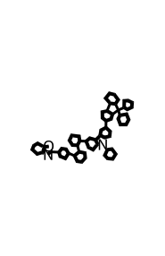 c1ccc(-n2c3ccc(-c4ccc5c(c4)C(c4ccccc4)(c4ccccc4)c4ccccc4-5)cc3c3cc(-c4ccccc4-c4ccccc4-c4ccc(-c5nc6ccccc6o5)cc4)ccc32)cc1